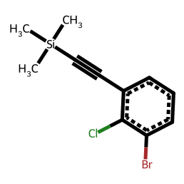 C[Si](C)(C)C#Cc1cccc(Br)c1Cl